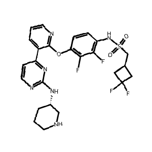 O=S(=O)(CC1CC(F)(F)C1)Nc1ccc(Oc2ncccc2-c2ccnc(N[C@H]3CCCNC3)n2)c(F)c1F